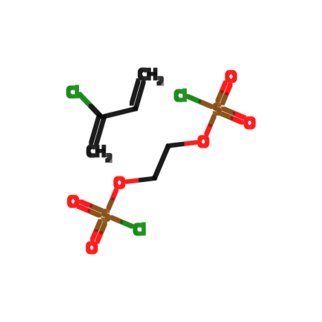 C=CC(=C)Cl.O=S(=O)(Cl)OCCOS(=O)(=O)Cl